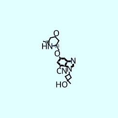 C[C@H]1CC(=O)C[C@@H](COc2cc(C#N)c3c(c2)ncn3C2CC(C)(O)C2)N1